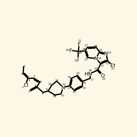 C=C(/C=C\C(Cl)=C/C)CC1CCN(c2ccc(CNC(=O)c3c(CC)nc4ccc(C(F)(F)I)cn34)cc2)CC1